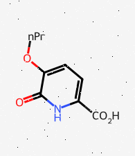 CCCOc1ccc(C(=O)O)[nH]c1=O